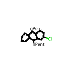 CCCCCc1c2ccccc2c(CCCCC)c2cc(Cl)ccc12